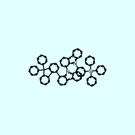 c1ccc(C2(c3ccccc3)c3ccccc3-c3c(-c4cccc5c6ccccc6n(-c6cccc7c8ccccc8n(-c8cccc([Si](c9ccccc9)(c9ccccc9)c9ccccc9)c8)c67)c45)cccc32)cc1